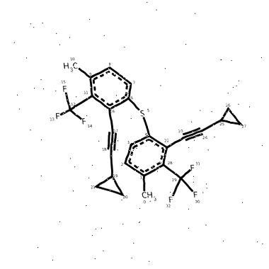 Cc1ccc(Sc2ccc(C)c(C(F)(F)F)c2C#CC2CC2)c(C#CC2CC2)c1C(F)(F)F